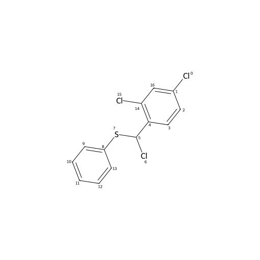 Clc1ccc(C(Cl)Sc2ccccc2)c(Cl)c1